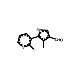 Cc1c(C=O)c[nH]c1-c1cccnc1F